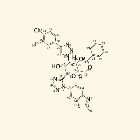 Cc1nc2ccc(-n3ncnc3[C@@H]3O[C@@H]4COC(c5ccccc5)O[C@@H]4[C@H](n4cc(-c5ccc(Cl)c(F)c5)nn4)[C@H]3O)cc2s1